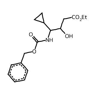 CCOC(=O)CC(O)C(NC(=O)OCc1ccccc1)C1CC1